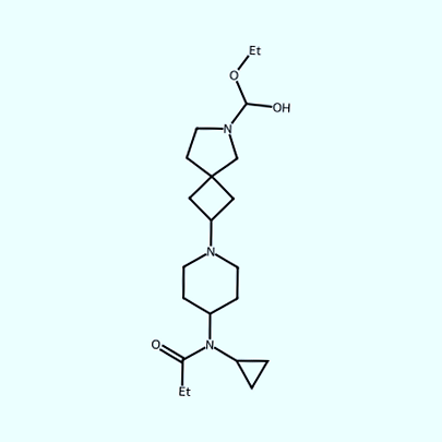 CCOC(O)N1CCC2(CC(N3CCC(N(C(=O)CC)C4CC4)CC3)C2)C1